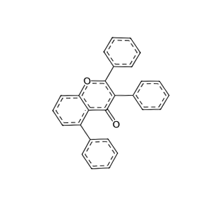 O=c1c(-c2ccccc2)c(-c2ccccc2)oc2cccc(-c3ccccc3)c12